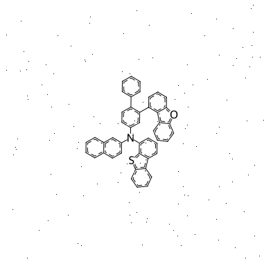 c1ccc(-c2ccc(N(c3ccc4ccccc4c3)c3cccc4c3sc3ccccc34)cc2-c2cccc3oc4ccccc4c23)cc1